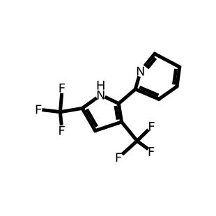 FC(F)(F)c1cc(C(F)(F)F)c(-c2ccccn2)[nH]1